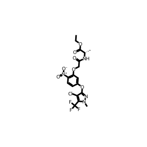 CCOC(=O)[C@H](C)NC(=O)COc1cc(Oc2nn(C)c(C(F)(F)F)c2Cl)ccc1[N+](=O)[O-]